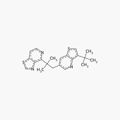 CC(C)(C)c1csc2cc(CC(C)(C)c3nccc4scnc34)cnc12